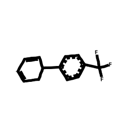 FC(F)(F)c1ccc(C2C=C[C]=CC2)cc1